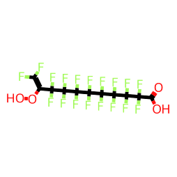 O=C(O)C(F)(F)C(F)(F)C(F)(F)C(F)(F)C(F)(F)C(F)(F)C(F)(F)C(F)(F)C(OO)=C(F)F